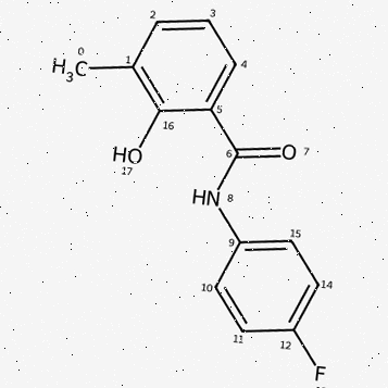 Cc1cccc(C(=O)Nc2ccc(F)cc2)c1O